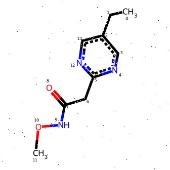 CCc1cnc(CC(=O)NOC)nc1